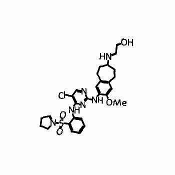 COc1cc2c(cc1Nc1ncc(Cl)c(Nc3ccccc3S(=O)(=O)N3CCCC3)n1)CCC(NCCO)CC2